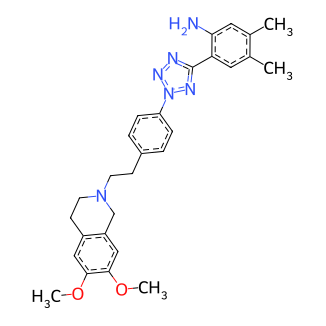 COc1cc2c(cc1OC)CN(CCc1ccc(-n3nnc(-c4cc(C)c(C)cc4N)n3)cc1)CC2